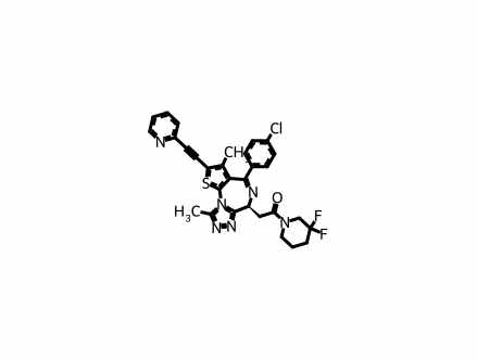 Cc1c(C#Cc2ccccn2)sc2c1C(c1ccc(Cl)cc1)=N[C@@H](CC(=O)N1CCCC(F)(F)C1)c1nnc(C)n1-2